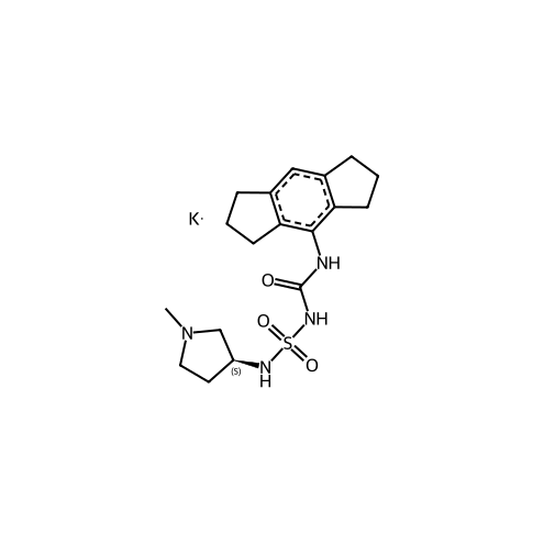 CN1CC[C@H](NS(=O)(=O)NC(=O)Nc2c3c(cc4c2CCC4)CCC3)C1.[K]